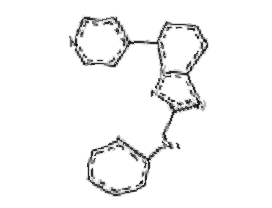 c1ccc(Nc2nc3cccc(-c4ccncc4)n3n2)cc1